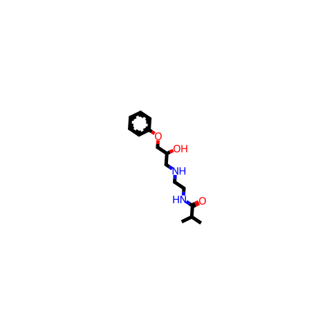 CC(C)C(=O)NCCNCC(O)COc1ccccc1